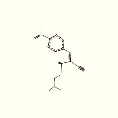 CC(C)COC(=O)C(C#N)=Cc1ccc([N+](=O)[O-])cc1